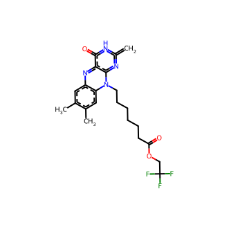 C=c1nc2c(c(=O)[nH]1)=Nc1cc(C)c(C)cc1N2CCCCCCC(=O)OCC(F)(F)F